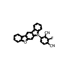 N#Cc1ccc(-n2c3ccccc3c3cc4c(cc32)oc2ccccc24)c(C#N)c1F